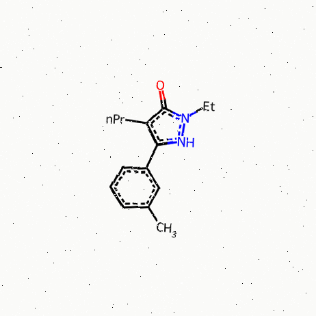 CCCc1c(-c2cccc(C)c2)[nH]n(CC)c1=O